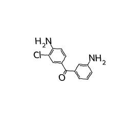 Nc1cccc(C(=O)c2ccc(N)c(Cl)c2)c1